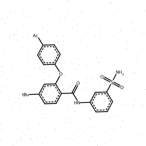 CC(=O)c1ccc(Oc2cc(C(C)(C)C)ccc2C(=O)Nc2cccc(S(N)(=O)=O)c2)cc1